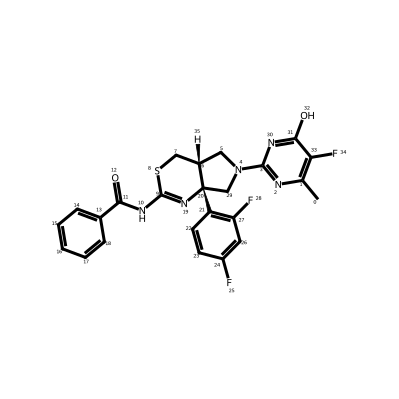 Cc1nc(N2C[C@H]3CSC(NC(=O)c4ccccc4)=N[C@@]3(c3ccc(F)cc3F)C2)nc(O)c1F